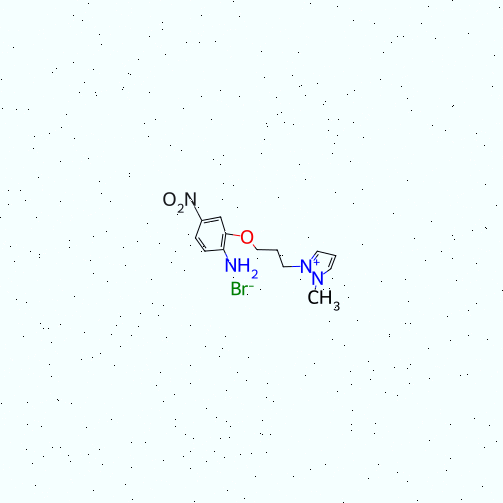 Cn1ccc[n+]1CCCOc1cc([N+](=O)[O-])ccc1N.[Br-]